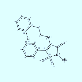 CCCCN1C(=O)C(NCCc2ccccc2Cl)=C(c2ccccc2)S1(=O)=O